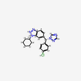 Clc1ccc([C@H](c2ccc3nnn(C4CCCCC4)c3c2)n2cncn2)cc1